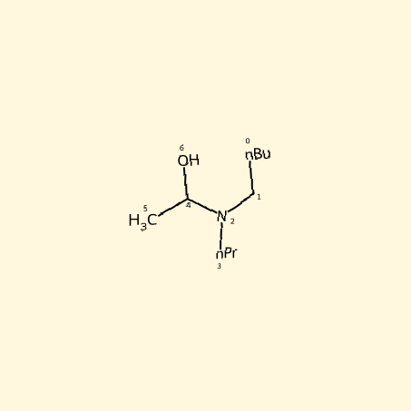 CCCCCN(CCC)C(C)O